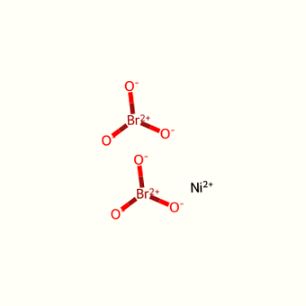 [Ni+2].[O-][Br+2]([O-])[O-].[O-][Br+2]([O-])[O-]